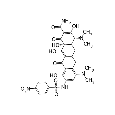 CN(C)c1cc(NS(=O)(=O)c2ccc([N+](=O)[O-])cc2)c(O)c2c1CC1CC3[C@H](N(C)C)C(O)=C(C(N)=O)C(=O)[C@@]3(O)C(O)=C1C2=O